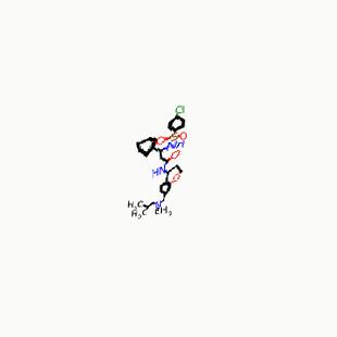 CC(C)CN(C)Cc1ccc2c(c1)OCCC2NC(=O)CC(NS(=O)(=O)c1ccc(Cl)cc1)c1ccccc1